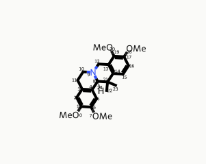 COc1cc2c(cc1OC)[C@H]1N(CC2)Cc2c(ccc(OC)c2OC)C1(C)C